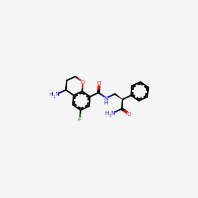 NC(=O)[C@@H](CNC(=O)c1cc(F)cc2c1OCCC2N)c1ccccc1